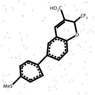 CSc1ccc(-c2ccc3c(c2)C=C(C(=O)O)C(C(F)(F)F)O3)cc1